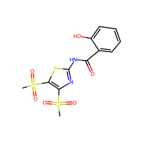 CS(=O)(=O)c1nc(NC(=O)c2ccccc2O)sc1S(C)(=O)=O